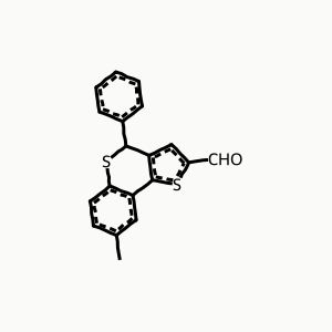 Cc1ccc2c(c1)-c1sc(C=O)cc1C(c1ccccc1)S2